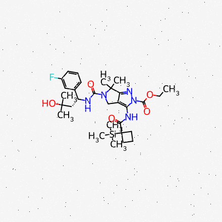 CCOC(=O)n1nc2c(c1NC(=O)C1([Si](C)(C)C)CCC1)CN(C(=O)N[C@H](CC(C)(C)O)c1cccc(F)c1)C2(C)C